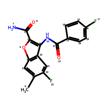 Cc1cc2oc(C(N)=O)c(NC(=O)c3ccc(F)cc3)c2cc1F